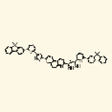 CC1(C)c2ccccc2-c2ccc(-c3cccc(C(=N)SC(=N)c4ccc5c(ccc6nc(-c7nnc(-c8cccc(-c9ccc%10c(c9)C(C)(C)c9ccccc9-%10)n8)s7)ccc65)n4)n3)cc21